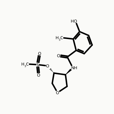 Cc1c(O)cccc1C(=O)N[C@H]1COC[C@@H]1OS(C)(=O)=O